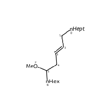 [CH2]CCCCCCC/C=C/CC(CCCCCC)OC